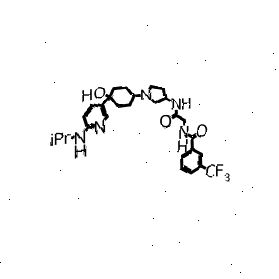 CC(C)Nc1ccc(C2(O)CCC(N3CCC(NC(=O)CNC(=O)c4cccc(C(F)(F)F)c4)C3)CC2)cn1